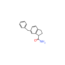 NC(=O)C1CCc2ccc(Cc3ccccc3)cc21